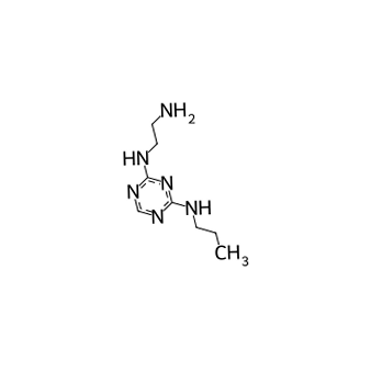 CCCNc1ncnc(NCCN)n1